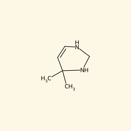 CC1(C)C=CNCN1